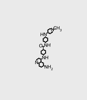 C[n+]1ccc(Nc2ccc(NC(=O)c3ccc(Nc4ccnc5ccc(N)cc45)cc3)cc2)cc1